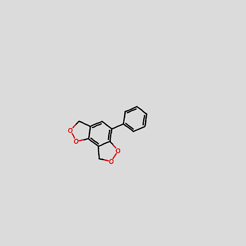 c1ccc(-c2cc3c(c4c2OOC4)OOC3)cc1